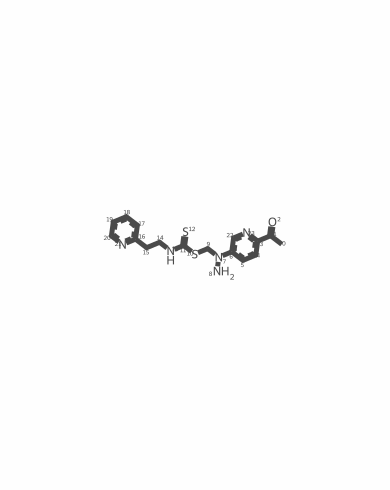 CC(=O)c1ccc(N(N)CSC(=S)NCCc2ccccn2)cn1